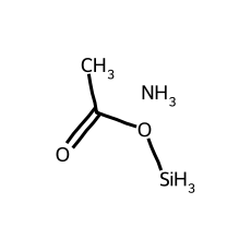 CC(=O)O[SiH3].N